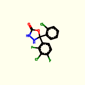 O=C1NNC(c2ccccc2Cl)(c2ccc(F)c(Cl)c2F)O1